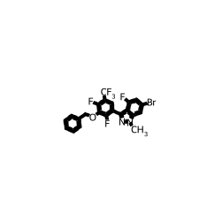 Cn1nc(-c2cc(C(F)(F)F)c(F)c(OCc3ccccc3)c2F)c2c(F)cc(Br)cc21